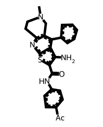 CC(=O)c1ccc(NC(=O)c2sc3nc4c(c(-c5ccccc5)c3c2N)CN(C)CC4)cc1